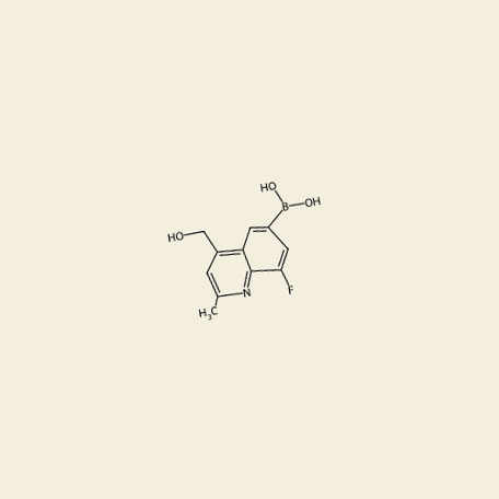 Cc1cc(CO)c2cc(B(O)O)cc(F)c2n1